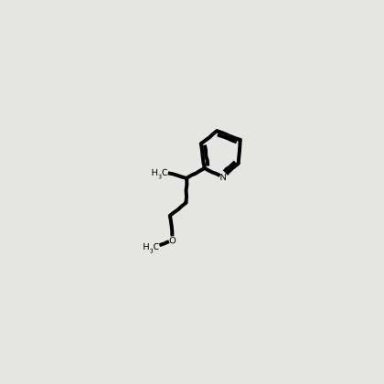 COCCC(C)c1ccccn1